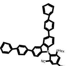 CCCCCCc1cc(C#N)cc(C#N)c1-n1c2ccc(-c3ccc(-c4ccccc4)cc3)cc2c2cc(-c3ccc(-c4ccccc4)cc3)ccc21